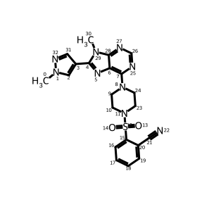 Cn1cc(-c2nc3c(N4CCN(S(=O)(=O)c5ccccc5C#N)CC4)ncnc3n2C)cn1